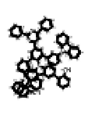 N#Cc1ccccc1-c1ccc2c(c1)c1cc(-c3ccccc3C#N)ccc1n2-c1c(-c2cccc(-n3c4ccccc4c4ccccc43)c2)cc(-c2cc(-c3ccccc3)nc(-c3ccccc3)n2)cc1-c1cccc(-n2c3ccccc3c3ccccc32)c1